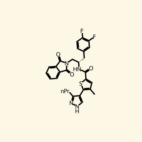 CCCc1n[nH]cc1-c1sc(C(=O)N[C@@H](Cc2ccc(F)c(F)c2)CN2C(=O)c3ccccc3C2=O)cc1C